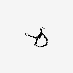 CCC1=C(C(C)(C)C)CCCO1